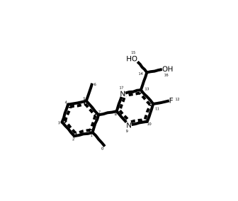 Cc1cccc(C)c1-c1ncc(F)c(C(O)O)n1